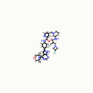 C=C(CN1CC(F)C1)C(=O)N[C@@H]1CCCN(Cc2ccnc(C(=O)Nc3ccc(-c4cc5c(N6[C@@H]7CC[C@H]6COC7)ncnc5[nH]4)cc3)c2)C1